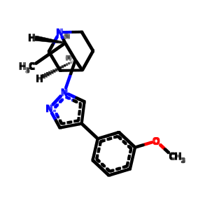 COc1cccc(-c2cnn([C@@H]3C4CCN(CC4)[C@H]3C)c2)c1